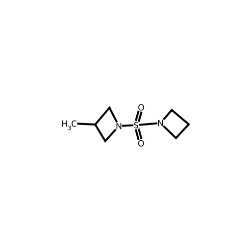 CC1CN(S(=O)(=O)N2CCC2)C1